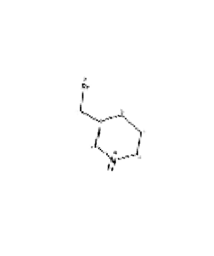 BrCC1CCCNC1